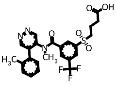 Cc1ccccc1-c1cnncc1N(C)C(=O)c1cc(C(F)(F)F)cc(S(=O)(=O)CCCC(=O)O)c1